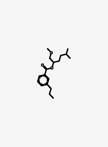 CCCc1cccc(C(=O)OC(CCC(C)C)COC)c1